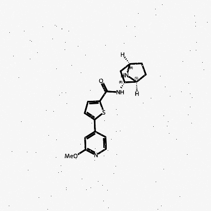 COc1cc(-c2ccc(C(=O)N[C@@H]3C[C@H]4CC[C@@H]3N4)s2)ccn1